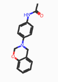 CC(=O)Nc1ccc(N2COc3ccccc3C2)cc1